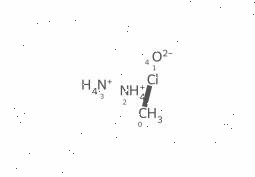 CCl.[NH4+].[NH4+].[O-2]